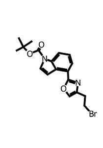 CC(C)(C)OC(=O)n1ccc2c(-c3nc(CCBr)co3)cccc21